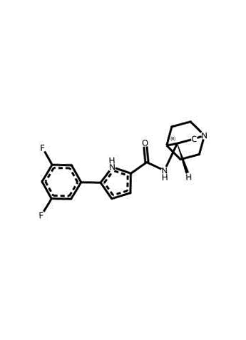 O=C(N[C@H]1CN2CCC1CC2)c1ccc(-c2cc(F)cc(F)c2)[nH]1